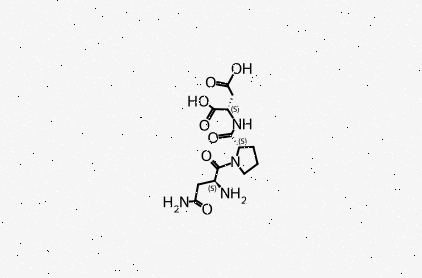 NC(=O)C[C@H](N)C(=O)N1CCC[C@H]1C(=O)N[C@@H](CC(=O)O)C(=O)O